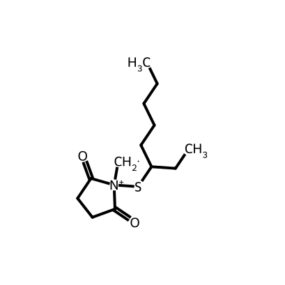 [CH2][N+]1(SC(CC)CCCCC)C(=O)CCC1=O